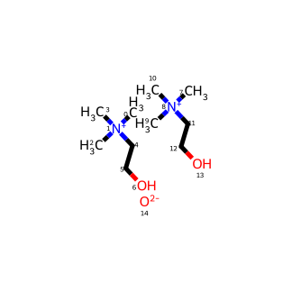 C[N+](C)(C)CCO.C[N+](C)(C)CCO.[O-2]